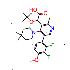 COc1ccc(-c2cnc(C)c(C(OC(C)(C)C)C(=O)O)c2N2CCC(C)(C)CC2)c(F)c1F